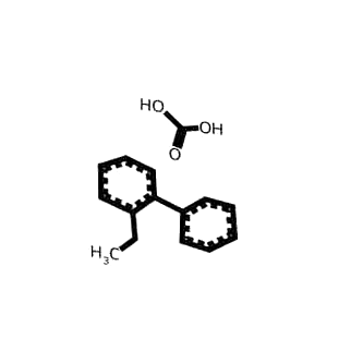 CCc1ccccc1-c1ccccc1.O=C(O)O